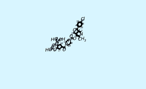 Cc1ncc2c(c1OC(=O)N1CCN(C(=O)C3C[C@H](ON(O)O)[C@H](ON(O)O)C3)CC1)CO[C@H]2c1ccc(Cl)cc1